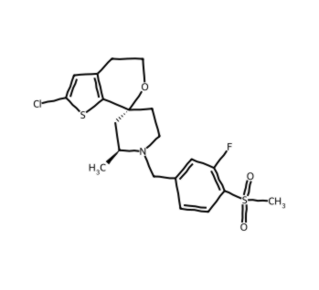 C[C@H]1C[C@@]2(CCN1Cc1ccc(S(C)(=O)=O)c(F)c1)OCCc1cc(Cl)sc12